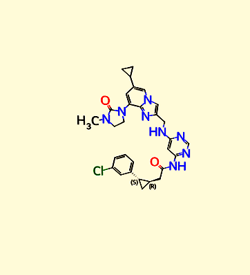 CN1CCN(c2cc(C3CC3)cn3cc(CNc4cc(NC(=O)C[C@H]5C[C@@H]5c5cccc(Cl)c5)ncn4)nc23)C1=O